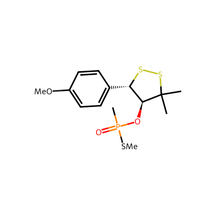 COc1ccc([C@@H]2SSC(C)(C)[C@H]2OP(C)(=O)SC)cc1